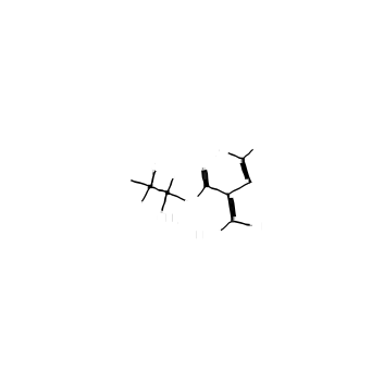 CC(C)=CC(C(=O)OC(C)(C)C(C)(C)C)=C(C)C